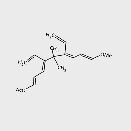 C=C/C(=C\C=C\OC)C(C)(C)/C(C=C)=C/C=C/OC(C)=O